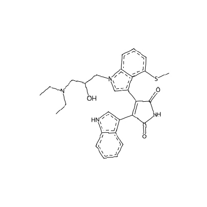 CCN(CC)CC(O)Cn1cc(C2=C(c3c[nH]c4ccccc34)C(=O)NC2=O)c2c(SC)cccc21